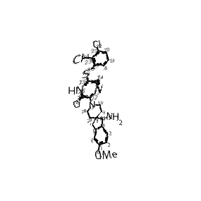 COc1ccc2c(c1)CC1(CCN(c3ncc(Sc4cccc(Cl)c4Cl)[nH]c3=O)CC1)[C@@H]2N